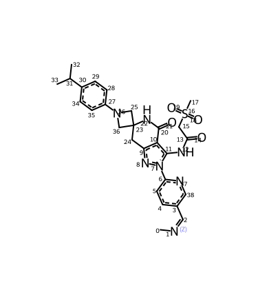 C/N=C\c1ccc(-n2nc3c(c2NC(=O)CS(C)(=O)=O)C(=O)NC2(C3)CN(c3ccc(C(C)C)cc3)C2)nc1